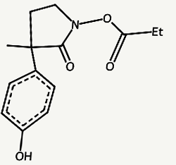 CCC(=O)ON1CCC(C)(c2ccc(O)cc2)C1=O